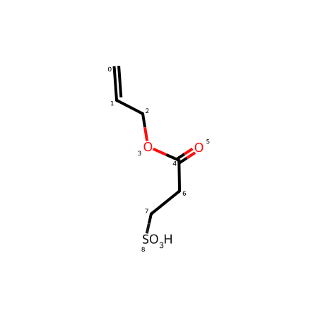 C=CCOC(=O)CCS(=O)(=O)O